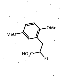 CCC(Cc1cc(OC)ccc1OC)C(=O)O